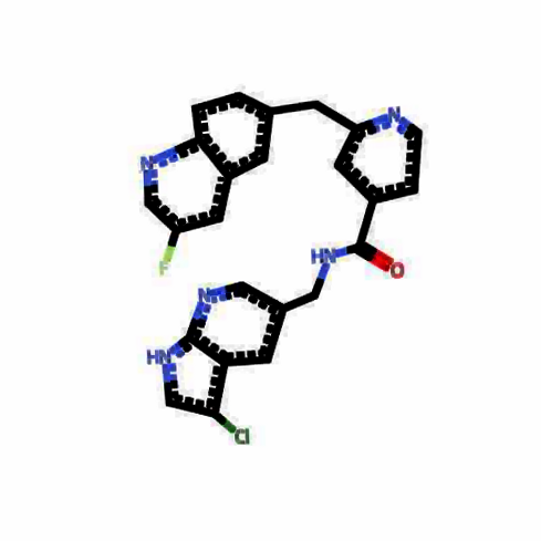 O=C(NCc1cnc2[nH]cc(Cl)c2c1)c1ccnc(Cc2ccc3ncc(F)cc3c2)c1